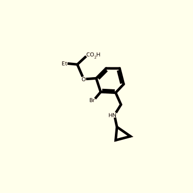 CCC(Oc1cccc(CNC2CC2)c1Br)C(=O)O